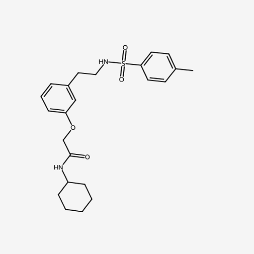 Cc1ccc(S(=O)(=O)NCCc2cccc(OCC(=O)NC3CCCCC3)c2)cc1